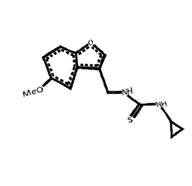 COc1ccc2occ(CNC(=S)NC3CC3)c2c1